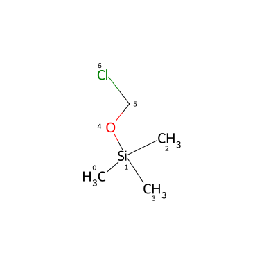 C[Si](C)(C)OCCl